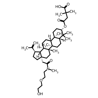 C=C(C)[C@@H]1CC[C@]2(CC(=O)N(C)CCOCCO)CC[C@]3(C)[C@H](CC[C@@H]4[C@@]5(C)CC[C@H](OC(=O)CC(C)(C)C(=O)O)C(C)(C)[C@@H]5CC[C@]43C)[C@@H]12